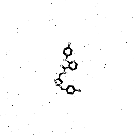 O=C(NCc1cn(Cc2ccc(Br)cc2)nn1)c1cccnc1Nc1ccc(Br)cc1